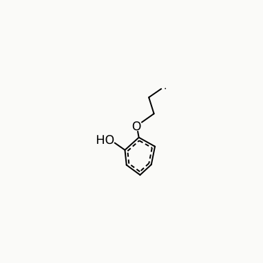 [CH2]CCOc1ccccc1O